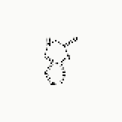 O=C1[C]NC=c2ccccc2=N1